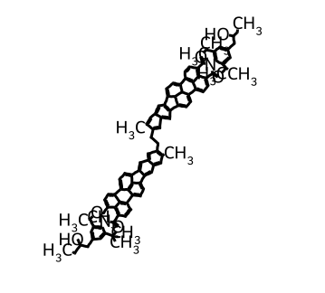 CCC(O)Cc1cc(C(C)C)c(N2C(=O)c3ccc4c5c(ccc(c35)C2=O)C2=CC=C3c5cc6cc(CCc7cc8cc9c(cc8cc7C)-c7ccc8c%10ccc%11c%12c(ccc(c%13ccc-9c7c8%13)c%12%10)C(=O)N(c7c(C(C)C)cc(CC(O)CC)cc7C(C)C)C%11=O)c(C)cc6cc5C5=CC=C4C2C53)c(C(C)C)c1